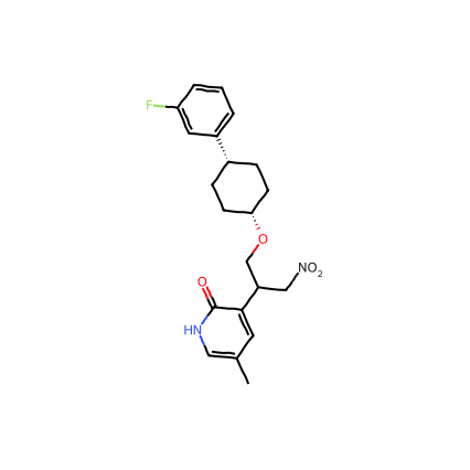 Cc1c[nH]c(=O)c(C(CO[C@H]2CC[C@@H](c3cccc(F)c3)CC2)C[N+](=O)[O-])c1